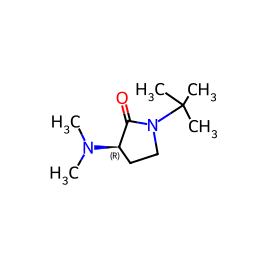 CN(C)[C@@H]1CCN(C(C)(C)C)C1=O